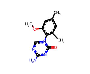 COc1cc(C)cc(C)c1-n1cnc(N)nc1=O